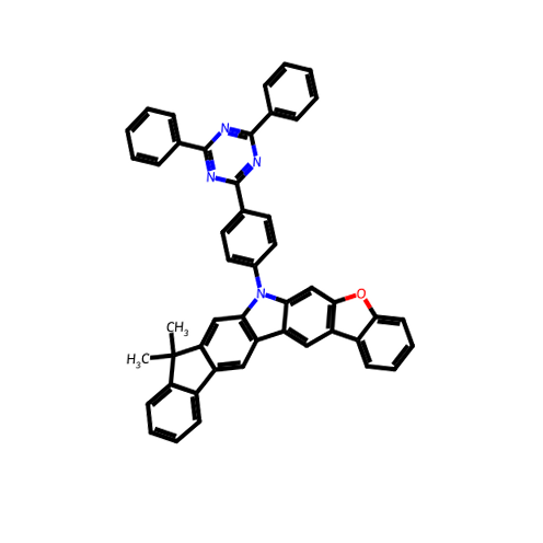 CC1(C)c2ccccc2-c2cc3c4cc5c(cc4n(-c4ccc(-c6nc(-c7ccccc7)nc(-c7ccccc7)n6)cc4)c3cc21)oc1ccccc15